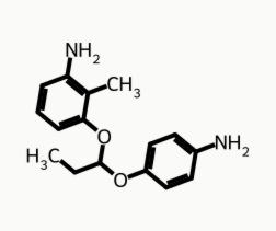 CCC(Oc1ccc(N)cc1)Oc1cccc(N)c1C